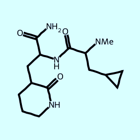 CNC(CC1CC1)C(=O)NC(CC1CCCNC1=O)C(N)=O